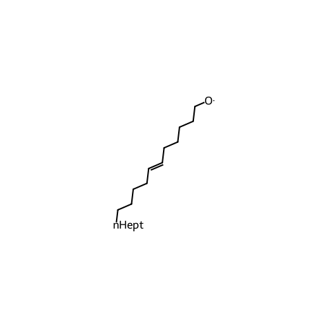 CCCCCCCCCCC/C=C/CCCCC[O]